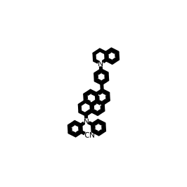 N#Cc1ccccc1N(C1=c2ccc3ccc(-c4ccc(N5CCCc6ccccc65)cc4)c4ccc(c2c34)CC1)c1ccccc1